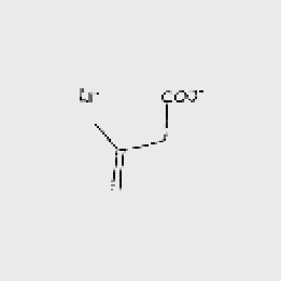 C=C(C)CC(=O)[O-].[Li+]